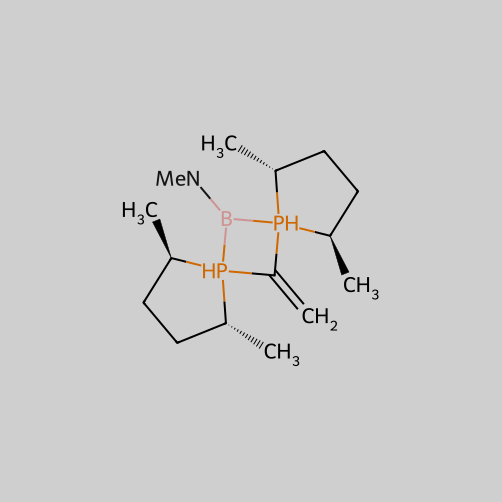 C=C1[PH]2(B(NC)[PH]13[C@H](C)CC[C@H]3C)[C@H](C)CC[C@H]2C